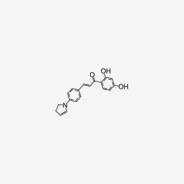 O=C(C=Cc1ccc(N2C=CCC2)cc1)c1ccc(O)cc1O